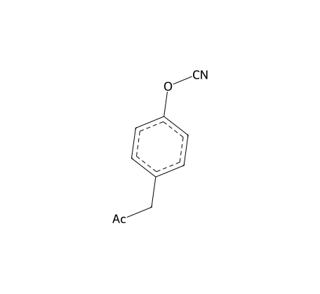 CC(=O)Cc1ccc(OC#N)cc1